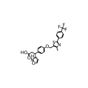 Cc1nc(-c2ccc(C(F)(F)F)cc2)sc1COc1ccc(C(CC(=O)O)[C@H]2C=CON2)cc1